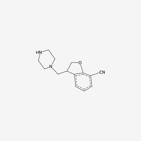 N#Cc1cccc2c1OCC2CN1CCNCC1